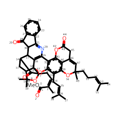 COC(=O)/C(C)=C\CC12OC(C)(C)C3CC(C1=O)C1C4=C(N=C5c6ccccc6C(=O)C51)c1c(c(CC=C(C)C)c5c6c1OC(=O)CC6=CC(C)(CCC=C(C)C)O5)OC432